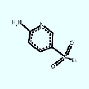 CCS(=O)(=O)c1ccc(N)nc1